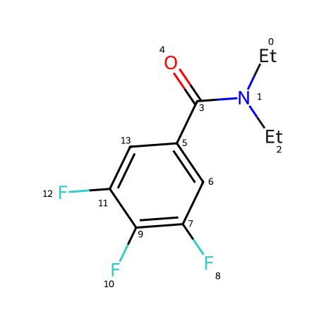 CCN(CC)C(=O)c1cc(F)c(F)c(F)c1